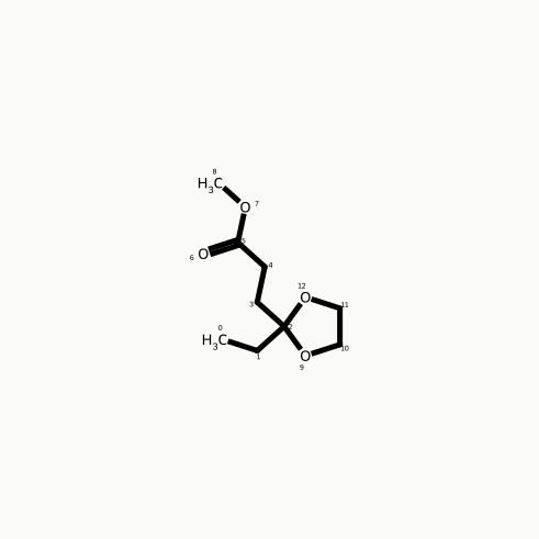 CCC1(CCC(=O)OC)OCCO1